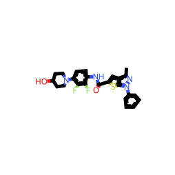 Cc1nn(-c2ccccc2)c2sc(C(=O)Nc3ccc(N4CCC(O)CC4)c(F)c3F)cc12